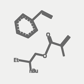 C=C(C)C(=O)OCC(CC)CCCC.C=Cc1ccccc1